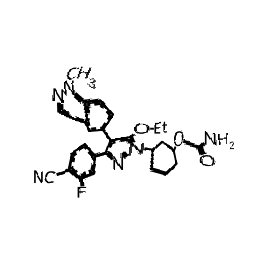 CCOc1c(-c2ccc3c(cnn3C)c2)c(-c2ccc(C#N)c(F)c2)nn1C1CCCC(OC(N)=O)C1